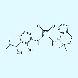 CN(C)C(O)c1cccc(Nc2c(N[C@@H]3c4ccoc4CCC3(C)C)c(=O)c2=O)c1O